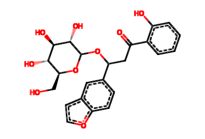 O=C(CC(OC1O[C@@H](CO)[C@H](O)[C@@H](O)[C@@H]1O)c1ccc2occc2c1)c1ccccc1O